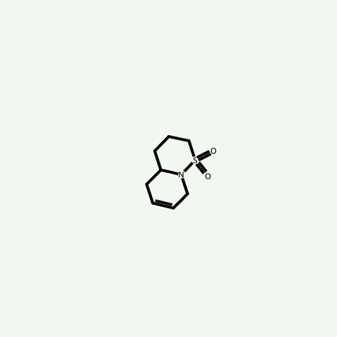 O=S1(=O)CCCC2CC=CCN21